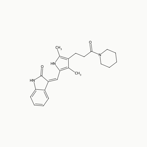 Cc1[nH]c(C=C2C(=O)Nc3ccccc32)c(C)c1CCC(=O)N1CCCCC1